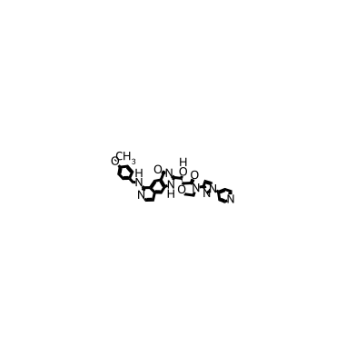 COc1ccc(CNc2nccc3cc4[nH]c(C(O)[C@H]5OCCN(c6ccn(-c7ccncc7)n6)C5=O)nc(=O)c4cc23)cc1